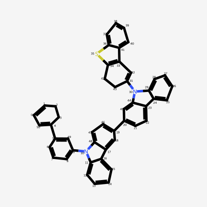 C1=CCCC(c2cccc(-n3c4ccccc4c4cc(-c5ccc6c7ccccc7n(C7=Cc8c(sc9ccccc89)CC7)c6c5)ccc43)c2)=C1